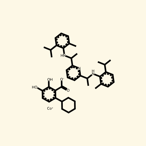 Cc1cccc(C(C)C)c1NC(C)c1cccc(C(C)Nc2c(C)cccc2C(C)C)n1.O=C([O-])c1c(C2CCCCC2)ccc(O)c1O.[Co+]